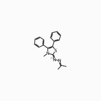 CC(C)=N/N=c1\sc(-c2ccccc2)c(-c2ccccc2)n1C